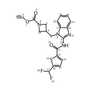 CC(C)(C)OC(=O)N1CC(Cn2c(NC(=O)c3ccc(C(F)F)s3)nc3ccccc32)C1